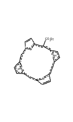 CCOC(=O)c1c2nc(cc3ccc(cc4nc(cc5ccc1[nH]5)C=C4)[nH]3)C=C2